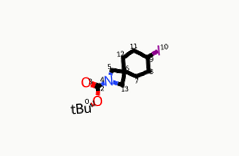 CC(C)(C)OC(=O)N1CC2(CCC(I)CC2)C1